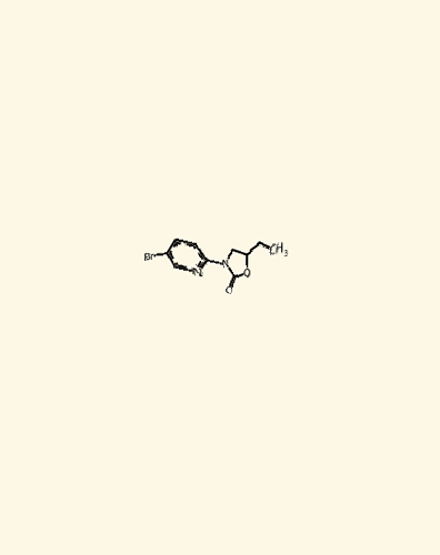 CCC1CN(c2ccc(Br)cn2)C(=O)O1